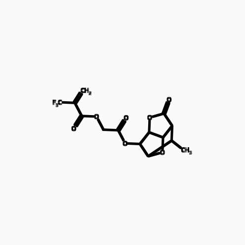 C=C(C(=O)OCC(=O)OC1C2OC3C1OC(=O)C3C2C)C(F)(F)F